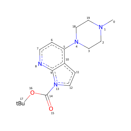 CN1CCN(c2ccnc3c2ccn3C(=O)OC(C)(C)C)CC1